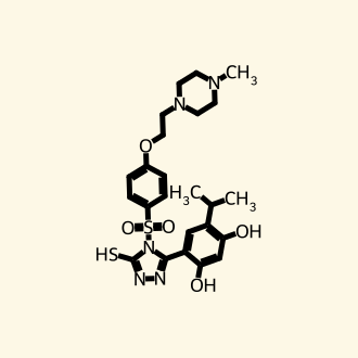 CC(C)c1cc(-c2nnc(S)n2S(=O)(=O)c2ccc(OCCN3CCN(C)CC3)cc2)c(O)cc1O